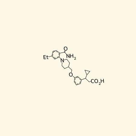 CCc1ccc(C(N)=O)c(N2CCC(COc3cccc(C(CC(=O)O)C4CC4)c3)CC2)c1